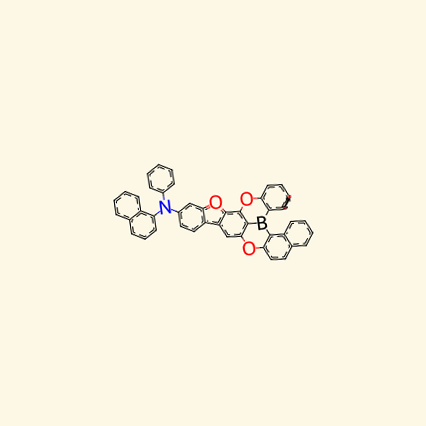 c1ccc(N(c2ccc3c(c2)oc2c4c5c(cc23)Oc2ccc3ccccc3c2B5c2c(ccc3ccccc23)O4)c2cccc3ccccc23)cc1